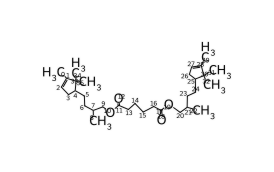 CC1=CCC(CCC(C)COC(=O)CCCCC(=O)OCC(C)CCC2CC=C(C)C2(C)C)C1(C)C